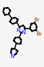 Brc1cc(Br)cc(-c2cc(-c3ccc(-c4ccccc4)cc3)nc(-c3ccc(-c4ccncc4)cc3)n2)c1